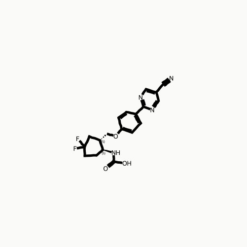 N#Cc1cnc(-c2ccc(OC[C@H]3CC(F)(F)CC[C@@H]3NC(=O)O)cc2)nc1